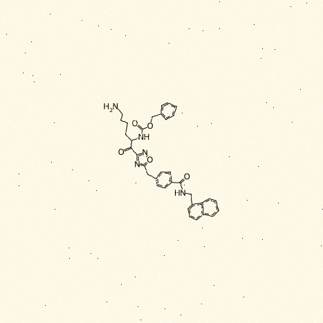 NCCCCC(NC(=O)OCc1ccccc1)C(=O)c1noc(Cc2ccc(C(=O)NCc3cccc4ccccc34)cc2)n1